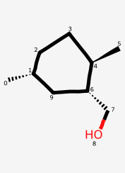 C[C@@H]1CC[C@@H](C)[C@H](CO)C1